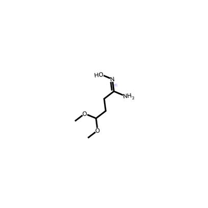 COC(CC/C(N)=N\O)OC